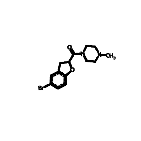 CN1CCN(C(=O)C2Cc3cc(Br)ccc3O2)CC1